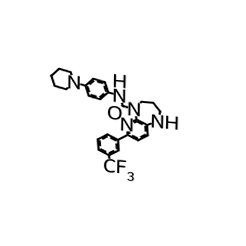 O=C(Nc1ccc(N2CCCCC2)cc1)N1CCCNc2ccc(-c3cccc(C(F)(F)F)c3)nc21